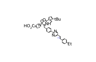 CCc1ccc(/C=C/c2cnc(-c3ccc(C[C@H](NC(=O)c4ccc(C(C)(C)C)s4)C(=O)N4CC[C@H](C(=O)O)C4)cc3)nc2)cc1